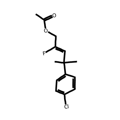 CC(=O)OCC(F)=CC(C)(C)c1ccc(Cl)cc1